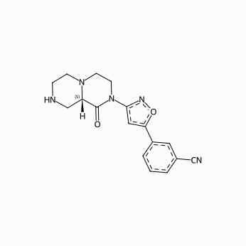 N#Cc1cccc(-c2cc(N3CCN4CCNC[C@H]4C3=O)no2)c1